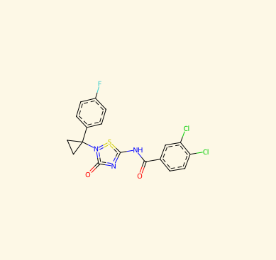 O=C(Nc1nc(=O)n(C2(c3ccc(F)cc3)CC2)s1)c1ccc(Cl)c(Cl)c1